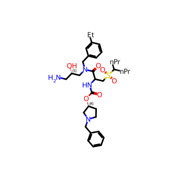 CCCC(CCC)S(=O)(=O)CC(NC(=O)O[C@@H]1CCN(Cc2ccccc2)C1)C(=O)N(Cc1cccc(CC)c1)C[C@@H](O)CN